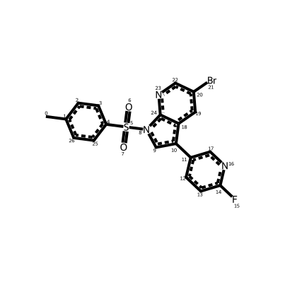 Cc1ccc(S(=O)(=O)n2cc(-c3ccc(F)nc3)c3cc(Br)cnc32)cc1